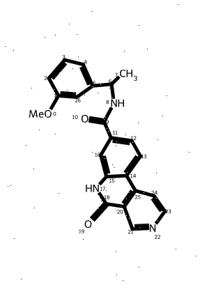 COc1cccc(C(C)NC(=O)c2ccc3c(c2)[nH]c(=O)c2cnccc23)c1